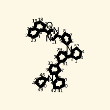 C1=Cc2c(n(-c3cccc(-c4cnc5c(n4)oc4ccc6ccccc6c45)c3)c3ccc(-c4ccc5c(c4)c4ccccc4n5-c4ccccc4)cc23)CC1